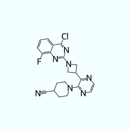 N#CC1CCN(c2nccnc2C2CN(c3nc(Cl)c4cccc(F)c4n3)C2)CC1